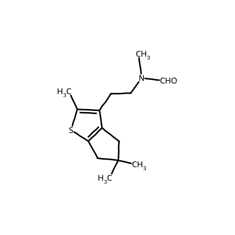 Cc1sc2c(c1CCN(C)C=O)CC(C)(C)C2